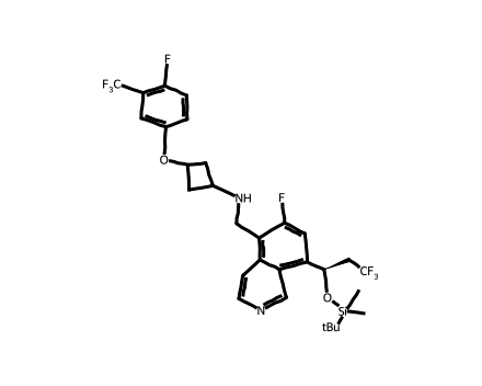 CC(C)(C)[Si](C)(C)O[C@H](CC(F)(F)F)c1cc(F)c(CNC2CC(Oc3ccc(F)c(C(F)(F)F)c3)C2)c2ccncc12